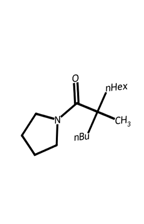 CCCCCCC(C)(CCCC)C(=O)N1CCCC1